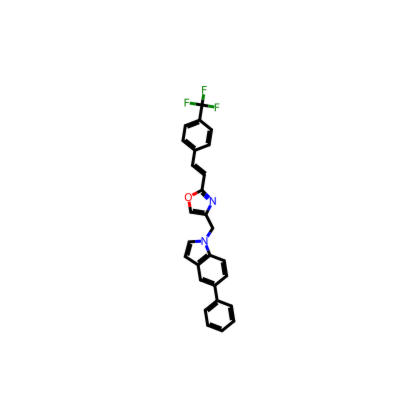 FC(F)(F)c1ccc(/C=C/c2nc(Cn3ccc4cc(-c5ccccc5)ccc43)co2)cc1